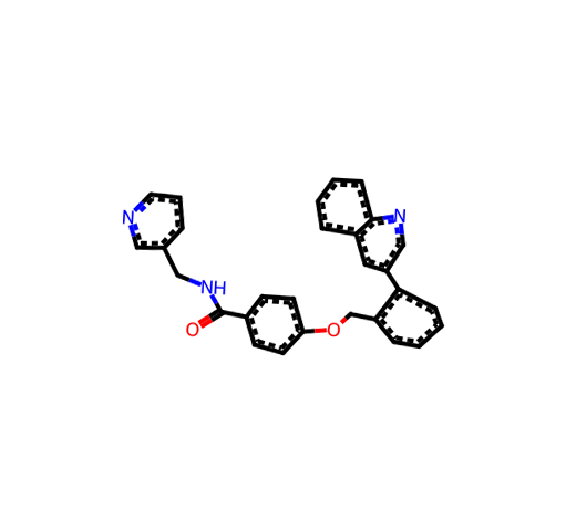 O=C(NCc1cccnc1)c1ccc(OCc2ccccc2-c2cnc3ccccc3c2)cc1